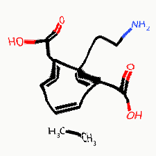 CC.NCCc1c(C(=O)O)cccc1C(=O)O